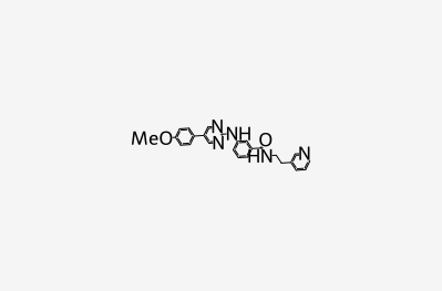 COc1ccc(-c2cnc(Nc3cccc(C(=O)NCCc4cccnc4)c3)nc2)cc1